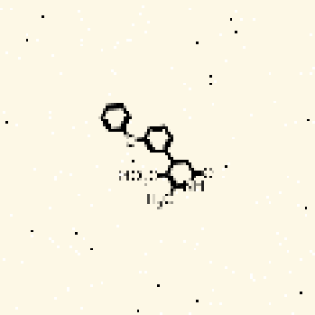 CC1=C(C(=O)O)C(c2cccc(Oc3ccccc3)c2)CC(=O)N1